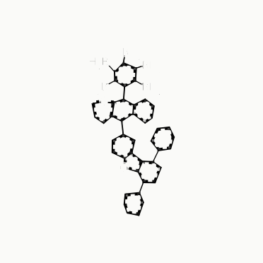 Bc1c(B)c(B)c(-c2c3ccccc3c(-c3ccc4oc5c(-c6ccccc6)ccc(-c6ccccc6)c5c4c3)c3ccccc23)c(B)c1B